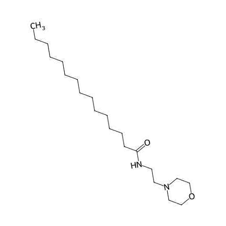 CCCCCCCCCCCCCCC(=O)NCCN1CCOCC1